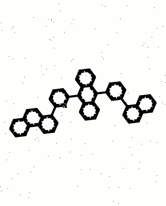 c1cc(-c2cccc3ccccc23)cc(-c2c3ccccc3c(-c3cccc(-c4cccc5c4ccc4ccccc45)n3)c3ccccc23)c1